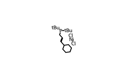 CC(C)(C)P(CC=CC1CCCCC1)C(C)(C)C.[Cl][Ni][Cl]